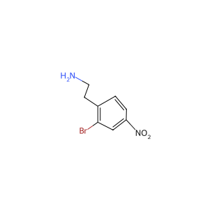 NCCc1ccc([N+](=O)[O-])cc1Br